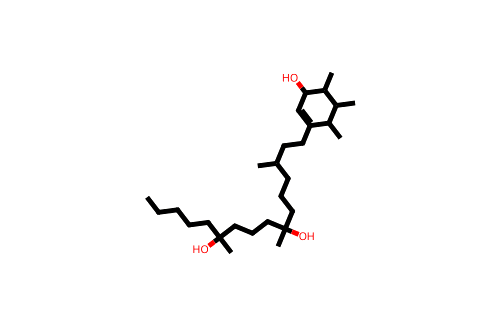 CCCCCC(C)(O)CCCC(C)(O)CCCC(C)CCC1=CC(O)C(C)C(C)C1C